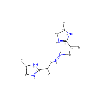 CC1CN=C(C(C)CN=NCC(C)C2=NCC(C)N2)N1